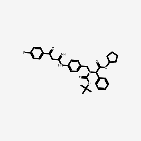 CC(C)(C)OC(=O)N(Cc1ccc(NC(=N)CC(=O)c2ccc(F)cc2)cc1)C(C(=O)OC1CCCC1)c1ccccc1